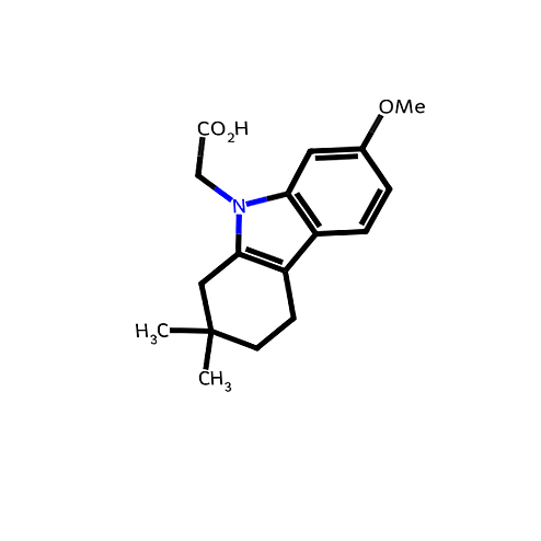 COc1ccc2c3c(n(CC(=O)O)c2c1)CC(C)(C)CC3